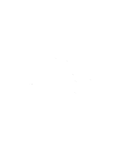 COc1ccc(-c2ncn(CC(F)F)c2-c2ccc3ncc(C#N)n3n2)cc1